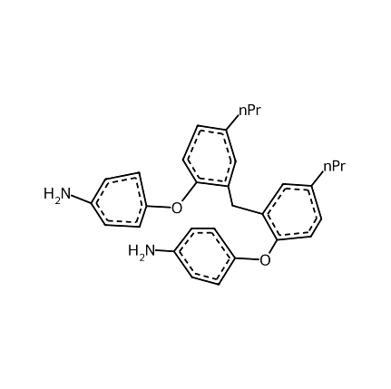 CCCc1ccc(Oc2ccc(N)cc2)c(Cc2cc(CCC)ccc2Oc2ccc(N)cc2)c1